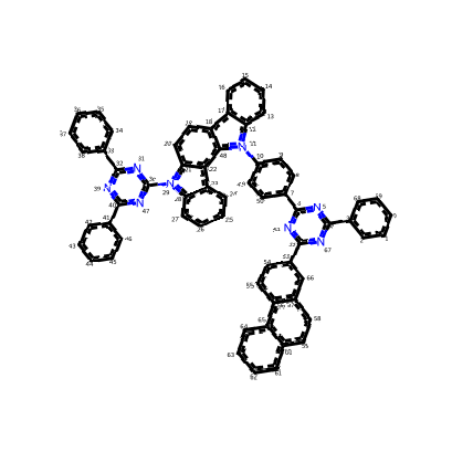 c1ccc(-c2nc(-c3ccc(-n4c5ccccc5c5ccc6c(c7ccccc7n6-c6nc(-c7ccccc7)nc(-c7ccccc7)n6)c54)cc3)nc(-c3ccc4c(ccc5ccccc54)c3)n2)cc1